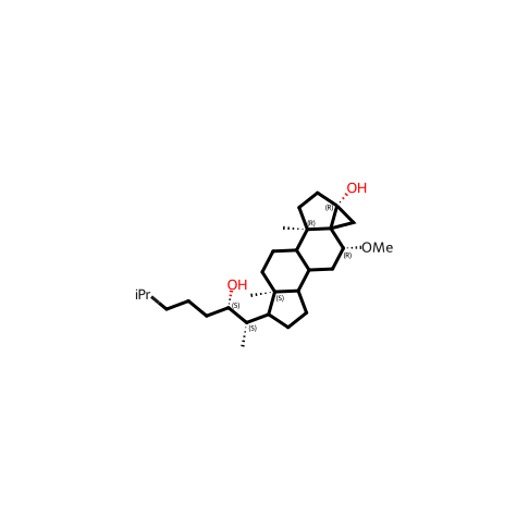 CO[C@@H]1CC2C3CCC([C@H](C)[C@@H](O)CCCC(C)C)[C@@]3(C)CCC2[C@@]2(C)CC[C@@]3(O)CC132